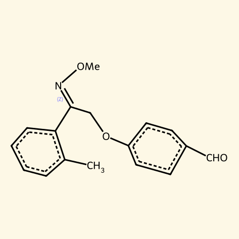 CO/N=C(\COc1ccc(C=O)cc1)c1ccccc1C